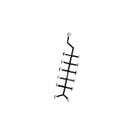 [O]CCC(F)(F)C(F)(F)C(F)(F)C(F)(F)C(F)(F)C(F)F